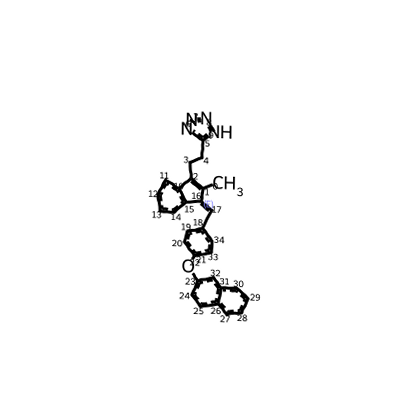 CC1=C(CCc2nnn[nH]2)c2ccccc2/C1=C\c1ccc(Oc2ccc3ccccc3c2)cc1